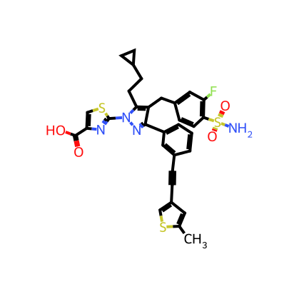 Cc1cc(C#Cc2cccc(-c3nn(-c4nc(C(=O)O)cs4)c(CCC4CC4)c3Cc3ccc(S(N)(=O)=O)c(F)c3)c2)cs1